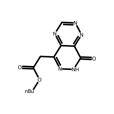 CCCCOC(=O)Cc1n[nH]c(=O)c2nncnc12